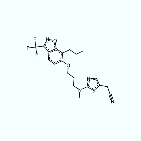 CCCc1c(OCCCN(C)c2ncc(CC#N)s2)ccc2c(C(F)(F)F)noc12